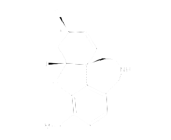 COc1ccc2c3c1O[C@@H]1C[C@@H](O)C=C[C@]31CCNC2